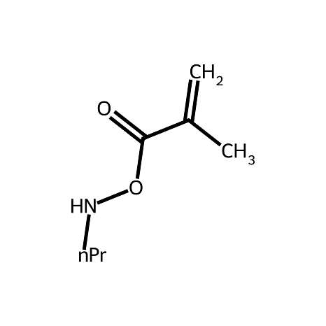 [CH2]CCNOC(=O)C(=C)C